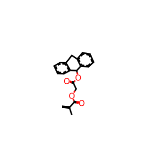 C=C(C)C(=O)OCC(=O)OC1c2ccccc2Cc2ccccc21